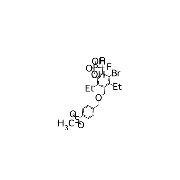 CCc1cc(C(F)(F)P(=O)(O)O)c(Br)c(CC)c1COCc1ccc(S(C)(=O)=O)cc1